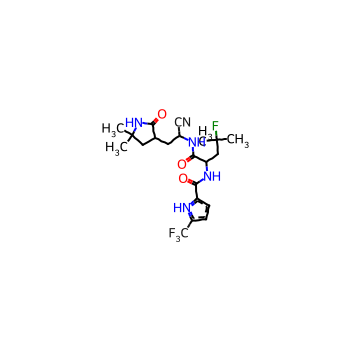 CC(C)(F)CC(NC(=O)c1ccc(C(F)(F)F)[nH]1)C(=O)NC(C#N)CC1CC(C)(C)NC1=O